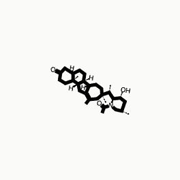 CC(=O)N1C[C@@H](C)C[C@@H](O)[C@@H]1[C@@H](C)[C@]1(C)CC[C@@H]2C(=C(C)C1)C[C@H]1[C@H]2CC[C@@H]2CC(=O)CC[C@@]21C